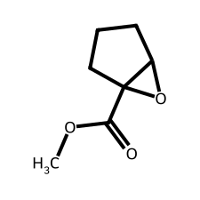 COC(=O)C12CCCC1O2